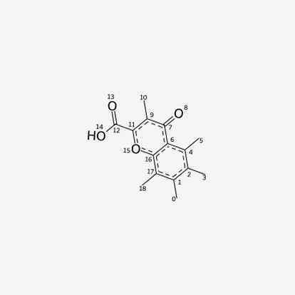 Cc1c(C)c(C)c2c(=O)c(C)c(C(=O)O)oc2c1C